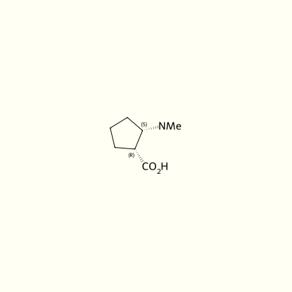 CN[C@H]1CCC[C@H]1C(=O)O